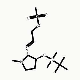 CN1CC[C@H](O[Si](C)(C)C(C)(C)C)[C@H]1/C=C/COS(C)(=O)=O